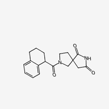 O=C1CC2(CCN(C(=O)C3CCCc4ccccc43)C2)C(=O)N1